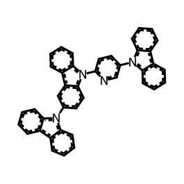 c1ccc2c(c1)c1ccccc1n2-c1ccc(-n2c3ccccc3c3cc(-n4c5ccccc5c5ccccc54)ccc32)nc1